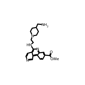 COC(=O)c1ccc2c(c1)nc(NCCN1CCC(CN)CC1)c1ccncc12